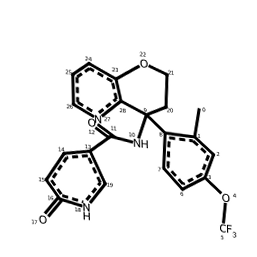 Cc1cc(OC(F)(F)F)ccc1C1(NC(=O)c2ccc(=O)[nH]c2)CCOc2cccnc21